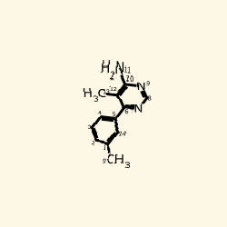 Cc1cccc(-c2ncnc(N)c2C)c1